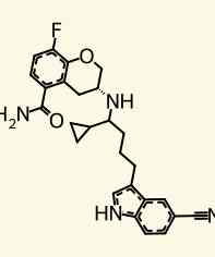 N#Cc1ccc2[nH]cc(CCCC(N[C@H]3COc4c(F)ccc(C(N)=O)c4C3)C3CC3)c2c1